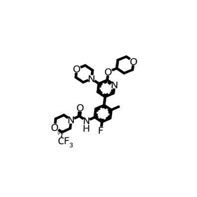 Cc1cc(F)c(NC(=O)N2CCO[C@@H](C(F)(F)F)C2)cc1-c1cnc(OC2CCOCC2)c(N2CCOCC2)c1